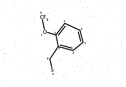 FC(F)(F)Oc1ccccc1C[S]